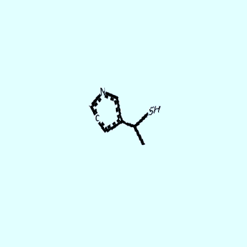 CC(S)c1cccnc1